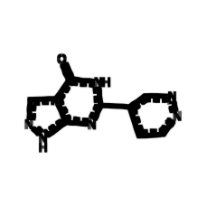 O=c1[nH]c(-c2ccnnc2)nc2[nH]ncc12